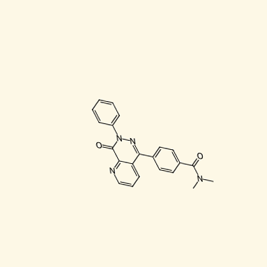 CN(C)C(=O)c1ccc(-c2nn(-c3ccccc3)c(=O)c3ncccc23)cc1